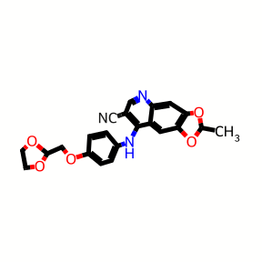 CC1Oc2cc3ncc(C#N)c(Nc4ccc(OCC5OCCO5)cc4)c3cc2O1